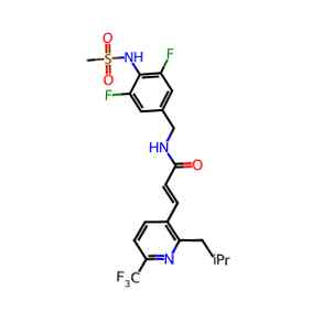 CC(C)Cc1nc(C(F)(F)F)ccc1C=CC(=O)NCc1cc(F)c(NS(C)(=O)=O)c(F)c1